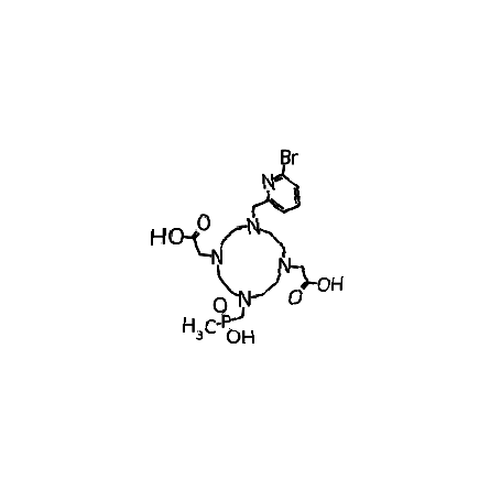 CP(=O)(O)CN1CCN(CC(=O)O)CCN(Cc2cccc(Br)n2)CCN(CC(=O)O)CC1